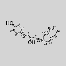 Oc1ccc(SCC(O)COc2ccc3ccccc3c2)cc1